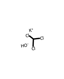 ClC(Cl)Cl.[K+].[OH-]